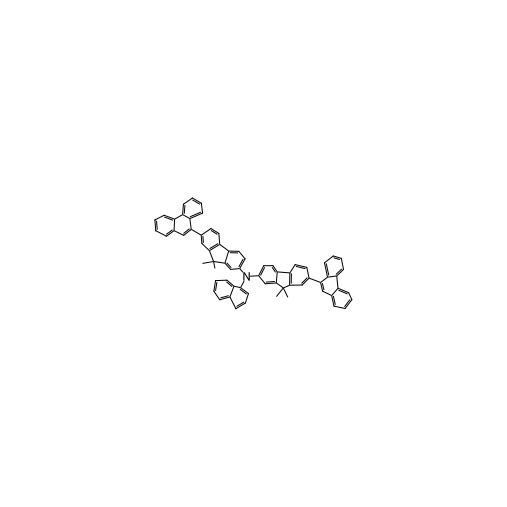 CC1(C)c2cc(-c3cc4ccccc4c4ccccc34)ccc2-c2ccc(N(c3ccc4c(c3)C(C)(C)c3cc(-c5cc6ccccc6c6ccccc56)ccc3-4)c3cccc4ccccc34)cc21